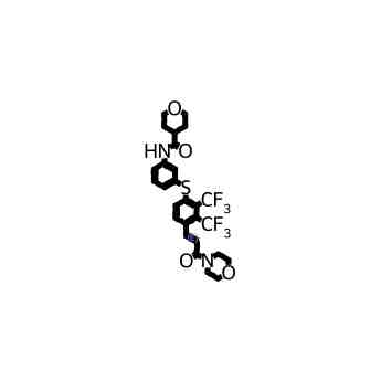 O=C(Nc1cccc(Sc2ccc(/C=C/C(=O)N3CCOCC3)c(C(F)(F)F)c2C(F)(F)F)c1)C1CCOCC1